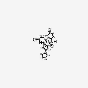 O=S(=O)(Nc1ccc(Cl)cc1)c1cc(C2CCCC2)cn1-c1nccc(Cl)n1